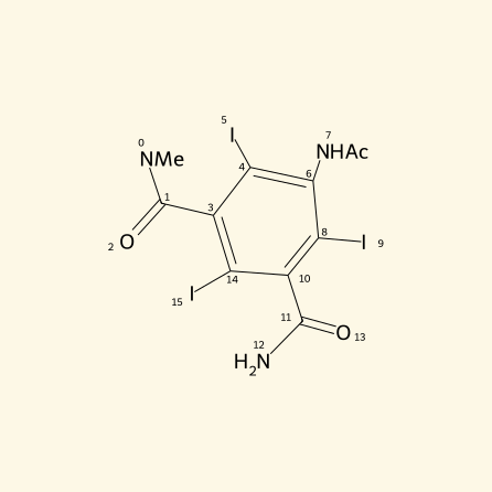 CNC(=O)c1c(I)c(NC(C)=O)c(I)c(C(N)=O)c1I